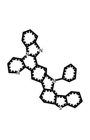 c1ccc(-n2c3cc4c(cc3c3ccc5sc6ccccc6c5c32)c2ncccc2n2c3ccccc3nc42)cc1